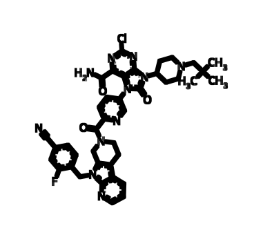 CC(C)(C)CN1CCC(n2c(=O)n(-c3ccc(C(=O)N4CCc5c(n(Cc6ccc(C#N)cc6F)c6ncccc56)C4)nc3)c3c(C(N)=O)nc(Cl)nc32)CC1